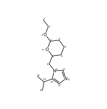 CCOC1CCCC(Cn2cncc2C(C)C)O1